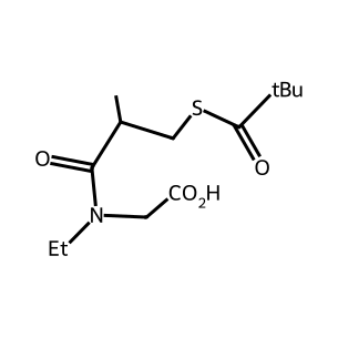 CCN(CC(=O)O)C(=O)C(C)CSC(=O)C(C)(C)C